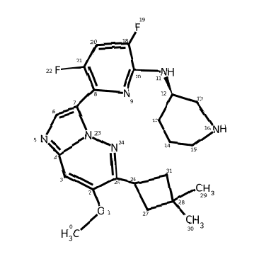 COc1cc2ncc(-c3nc(N[C@@H]4CCCNC4)c(F)cc3F)n2nc1C1CC(C)(C)C1